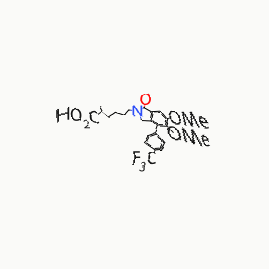 COc1cc2c(c(-c3ccc(C(F)(F)F)cc3)c1OC)CN(CCCCC(C)C(=O)O)C2=O